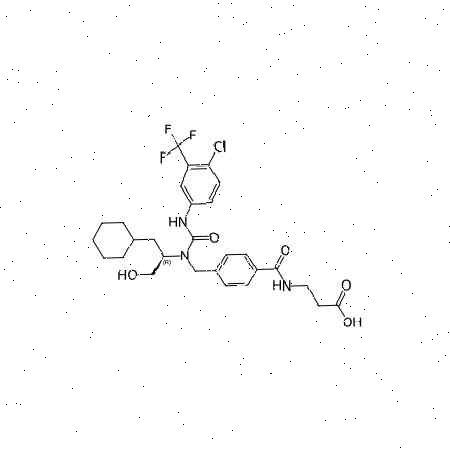 O=C(O)CCNC(=O)c1ccc(CN(C(=O)Nc2ccc(Cl)c(C(F)(F)F)c2)[C@@H](CO)CC2CCCCC2)cc1